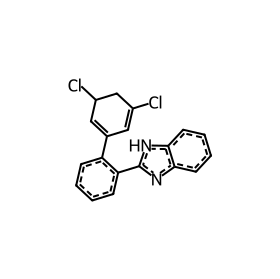 ClC1=CC(c2ccccc2-c2nc3ccccc3[nH]2)=CC(Cl)C1